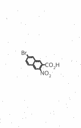 O=C(O)c1cc2cc(Br)ccc2cc1[N+](=O)[O-]